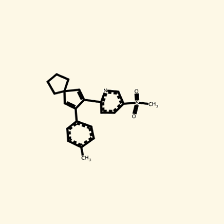 Cc1ccc(C2=CC3(C=C2c2ccc(S(C)(=O)=O)cn2)CCCC3)cc1